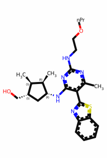 CCCOCCNc1nc(C)c(-c2nc3ccccc3s2)c(N[C@@H]2C[C@H](CO)[C@@H](C)[C@H]2C)n1